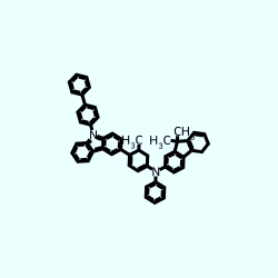 CC1CC(N(c2ccccc2)c2ccc3c(c2)C(C)(C)C2=C3CCC=C2)=CC=C1c1ccc2c(c1)c1ccccc1n2-c1ccc(-c2ccccc2)cc1